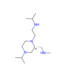 CNC[C@@H]1CN(C(C)C)CCN1CCNC(C)C